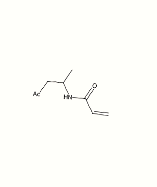 C=CC(=O)NC(C)CC(C)=O